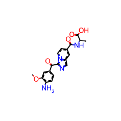 COc1cc(C(=O)c2ncc3cc(C(=O)N[C@H](C)C(=O)O)ccn23)ccc1N